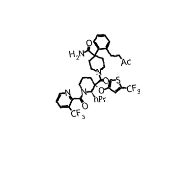 CCC[C@H]1N(C(=O)c2ncccc2C(F)(F)F)CCC[C@@]1(Oc1csc(C(F)(F)F)c1)C(=O)N1CCC(C(N)=O)(c2ccccc2CCC(C)=O)CC1